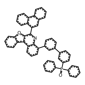 O=P(c1ccccc1)(c1ccccc1)c1cccc(-c2cccc(-c3cccc4c3nc(-c3cc5ccccc5c5ccccc35)c3oc5ccccc5c34)c2)c1